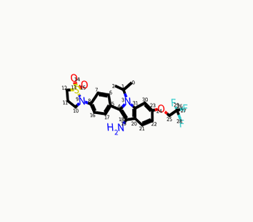 CC(C)n1c(-c2ccc(N3CCCS3(=O)=O)cc2)c(N)c2ccc(OCC(F)(F)F)cc21